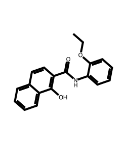 CCOc1ccccc1NC(=O)c1ccc2ccccc2c1O